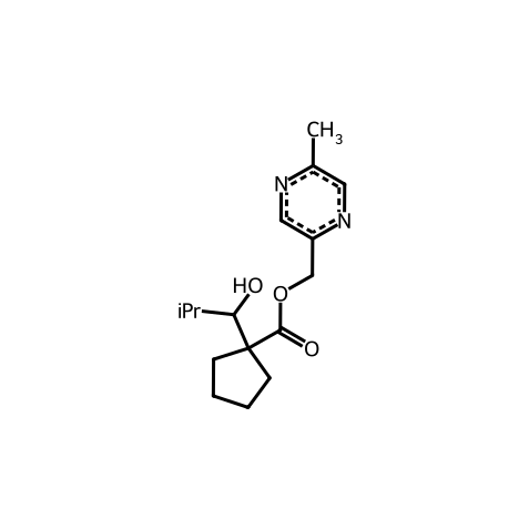 Cc1cnc(COC(=O)C2(C(O)C(C)C)CCCC2)cn1